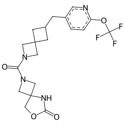 O=C1NC2(CO1)CN(C(=O)N1CC3(CC(Cc4ccc(OC(F)(F)F)nc4)C3)C1)C2